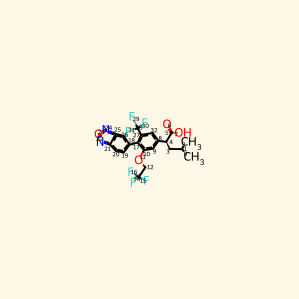 CC(C)C[C@H](C(=O)O)c1cc(OCC(F)(F)F)c(-c2ccc3nonc3c2)c(C(F)(F)F)c1